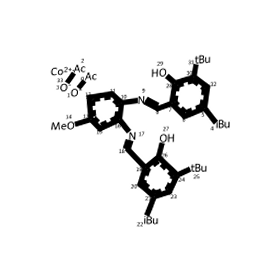 CC(=O)[O-].CC(=O)[O-].CCC(C)c1cc(C=Nc2ccc(OC)cc2N=Cc2cc(C(C)CC)cc(C(C)(C)C)c2O)c(O)c(C(C)(C)C)c1.[Co+2]